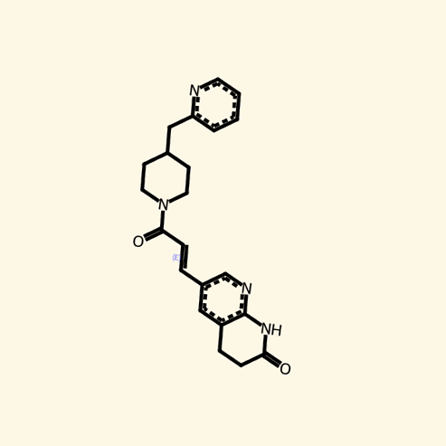 O=C1CCc2cc(/C=C/C(=O)N3CCC(Cc4ccccn4)CC3)cnc2N1